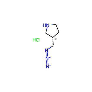 Cl.[N-]=[N+]=NC[C@H]1CCNC1